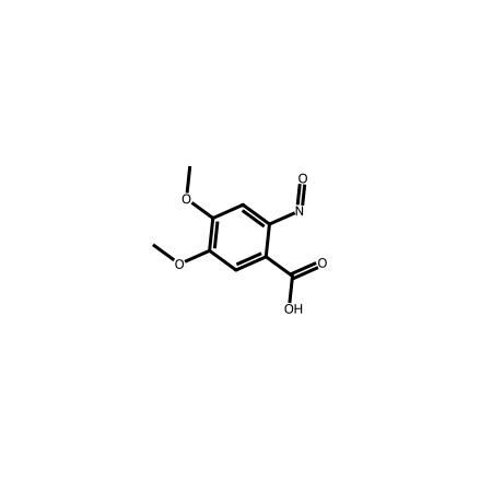 COc1cc(N=O)c(C(=O)O)cc1OC